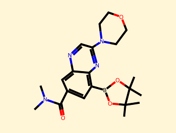 CN(C)C(=O)c1cc(B2OC(C)(C)C(C)(C)O2)c2nc(N3CCOCC3)cnc2c1